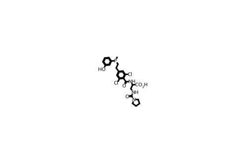 CP(CCc1cc(Cl)c(C(=O)NC(CNC(=O)N2CCCC2)C(=O)O)c(Cl)c1)c1cccc(O)c1